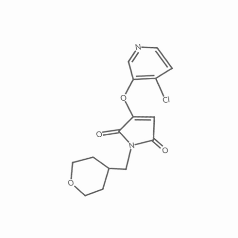 O=C1C=C(Oc2cnccc2Cl)C(=O)N1CC1CCOCC1